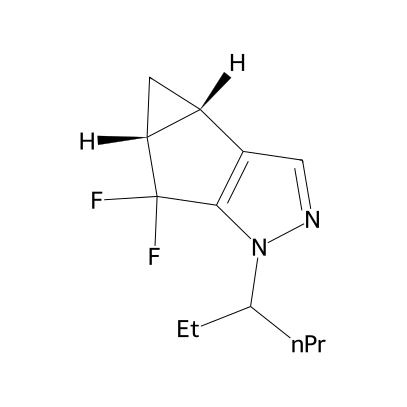 CCCC(CC)n1ncc2c1C(F)(F)[C@@H]1C[C@H]21